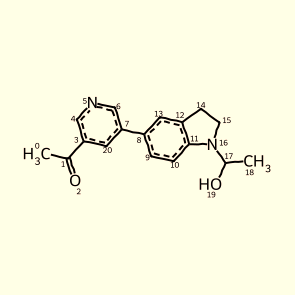 CC(=O)c1cncc(-c2ccc3c(c2)CCN3C(C)O)c1